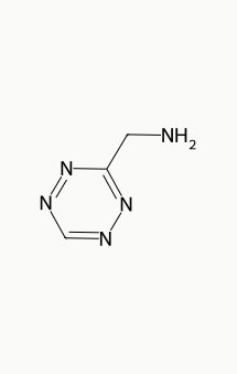 NCc1nncnn1